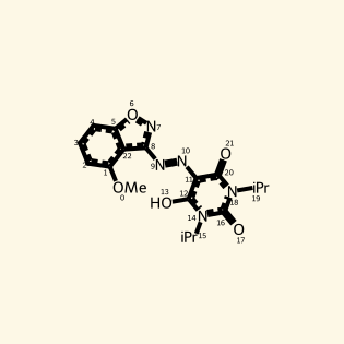 COc1cccc2onc(N=Nc3c(O)n(C(C)C)c(=O)n(C(C)C)c3=O)c12